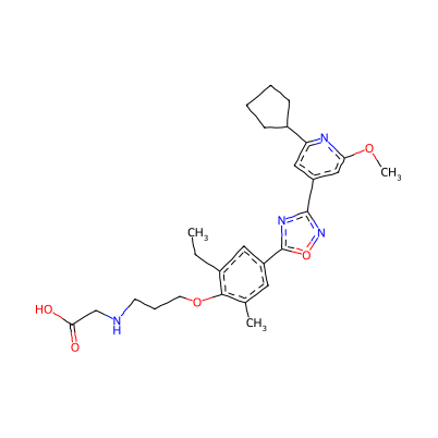 CCc1cc(-c2nc(-c3cc(OC)nc(C4CCCC4)c3)no2)cc(C)c1OCCCNCC(=O)O